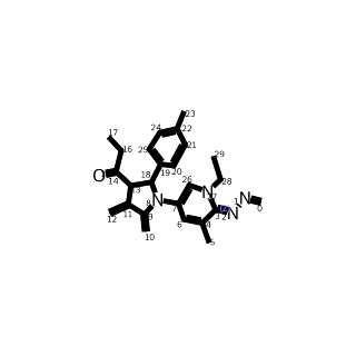 C=N/N=c1/c(C)cc(N2C(=C)C(=C)C(C(=O)CC)C2c2ccc(C)cc2)cn1CC